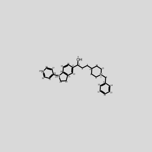 OC(CCC1CCN(Cc2ccccc2)CC1)c1ccc2c(c1)CCN2c1ccncc1